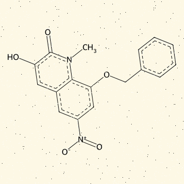 Cn1c(=O)c(O)cc2cc([N+](=O)[O-])cc(OCc3ccccc3)c21